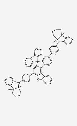 CC12CCCCC1(C)N(C1=CC=C(c3cc4c(c5c3oc3ccccc35)-c3ccc(-c5ccc(N6c7ccccc7C7(C)CCCCC67C)cc5)cc3C43c4ccccc4-c4ccccc43)CC1)c1ccccc12